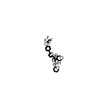 O=C(NOC1CCCCO1)C1(S(=O)(=O)c2ccc(-c3ccc(OC(F)(F)C(F)F)cc3)s2)CCOCC1